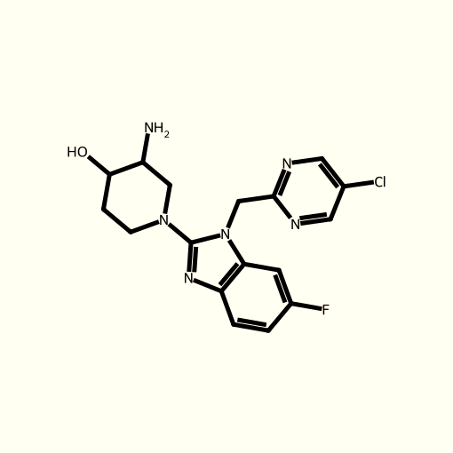 NC1CN(c2nc3ccc(F)cc3n2Cc2ncc(Cl)cn2)CCC1O